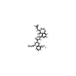 CNCCN(Cc1ccccc1C(F)(F)F)C(=O)CNc1cccc2c1C(=O)N(CC1CC1)CCO2